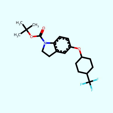 CC(C)(C)OC(=O)N1CCc2cc(OC3CCC(C(F)(F)F)CC3)ccc21